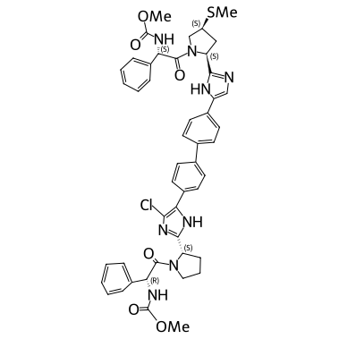 COC(=O)N[C@H](C(=O)N1C[C@@H](SC)C[C@H]1c1ncc(-c2ccc(-c3ccc(-c4[nH]c([C@@H]5CCCN5C(=O)[C@H](NC(=O)OC)c5ccccc5)nc4Cl)cc3)cc2)[nH]1)c1ccccc1